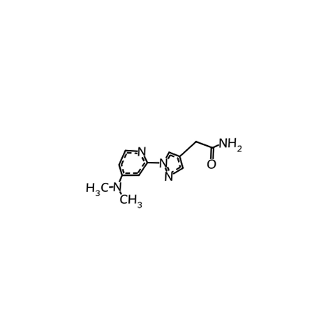 CN(C)c1ccnc(-n2cc(CC(N)=O)cn2)c1